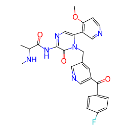 CNC(C)C(=O)Nc1ncc(-c2cnccc2OC)n(Cc2cncc(C(=O)c3ccc(F)cc3)c2)c1=O